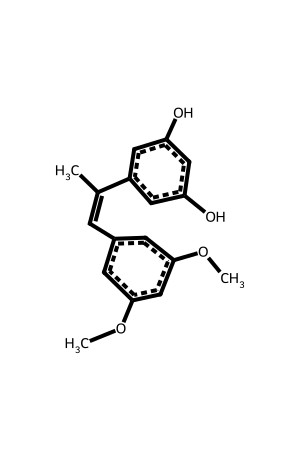 COc1cc(C=C(C)c2cc(O)cc(O)c2)cc(OC)c1